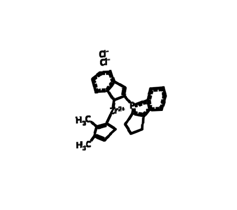 CC1=CC[C]([Zr+2][CH]2C(p3c4c(c5ccccc53)CCC4)=Cc3ccccc32)=C1C.[Cl-].[Cl-]